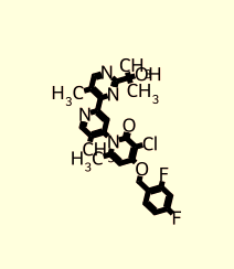 Cc1cnc(-c2nc(C(C)(C)O)ncc2C)cc1-n1c(C)cc(OCc2ccc(F)cc2F)c(Cl)c1=O